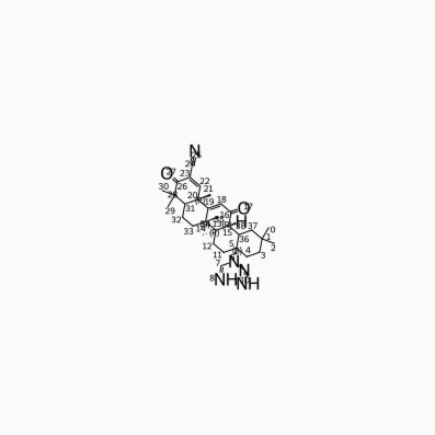 CC1(C)CC[C@]2(N(C=N)N=N)CC[C@]3(C)[C@H](C(=O)C=C4[C@@]5(C)C=C(C#N)C(=O)C(C)(C)C5CC[C@]43C)C2C1